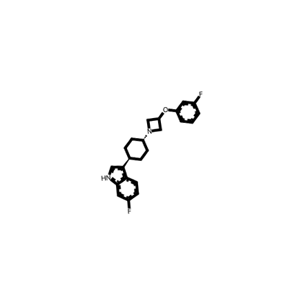 Fc1cccc(OC2CN([C@H]3CC[C@H](c4c[nH]c5cc(F)ccc54)CC3)C2)c1